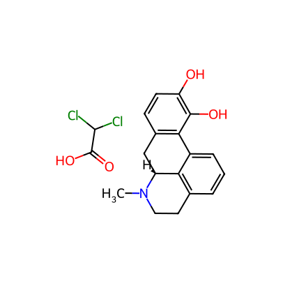 CN1CCc2cccc3c2[C@H]1Cc1ccc(O)c(O)c1-3.O=C(O)C(Cl)Cl